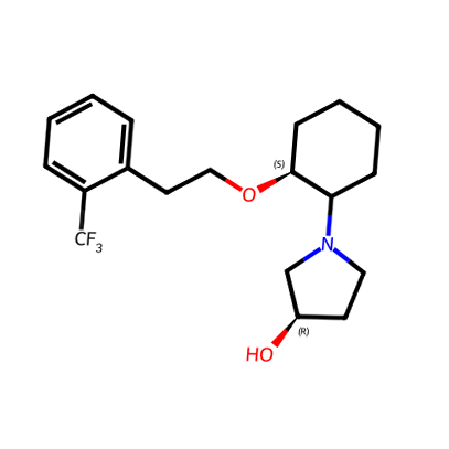 O[C@@H]1CCN(C2CCCC[C@@H]2OCCc2ccccc2C(F)(F)F)C1